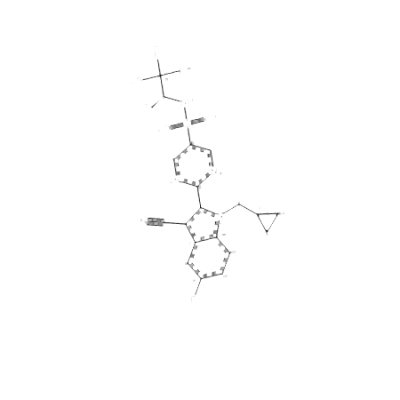 C[C@H](NS(=O)(=O)c1cnc(-c2c(C#N)c3cc(F)ccc3n2CC2CC2)nc1)C(F)(F)F